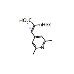 CCCCCC/C(=C\c1cc(C)nc(C)c1)C(=O)O